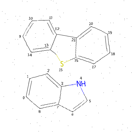 c1ccc2[nH]ccc2c1.c1ccc2c(c1)sc1ccccc12